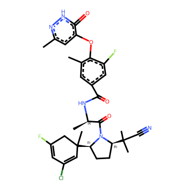 Cc1cc(Oc2c(C)cc(C(=O)N[C@H](C)C(=O)N3[C@H](C4(C)C=C(Cl)C=C(F)C4)CC[C@@H]3C(C)(C)C#N)cc2F)c(=O)[nH]n1